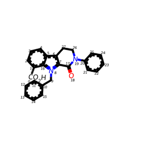 O=C(O)c1cccc2c3c(n(Cc4ccccc4)c12)C(=O)N(c1ccccc1)CC3